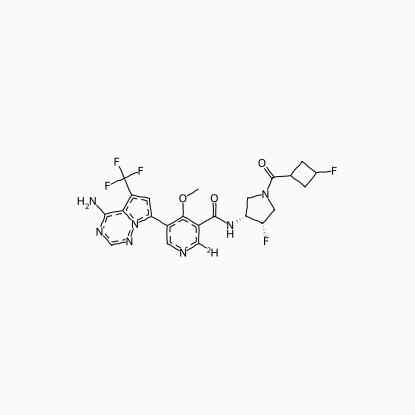 [2H]c1ncc(-c2cc(C(F)(F)F)c3c(N)ncnn23)c(OC)c1C(=O)N[C@@H]1CN(C(=O)C2CC(F)C2)C[C@@H]1F